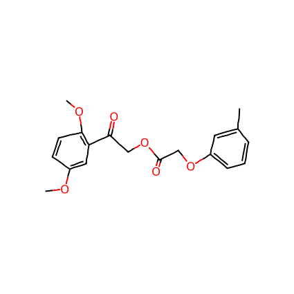 COc1ccc(OC)c(C(=O)COC(=O)COc2cccc(C)c2)c1